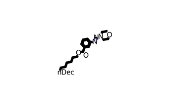 CCCCCCCCCCCCCCCCOC(=O)c1cccc(/N=N/N2CCOCC2)c1